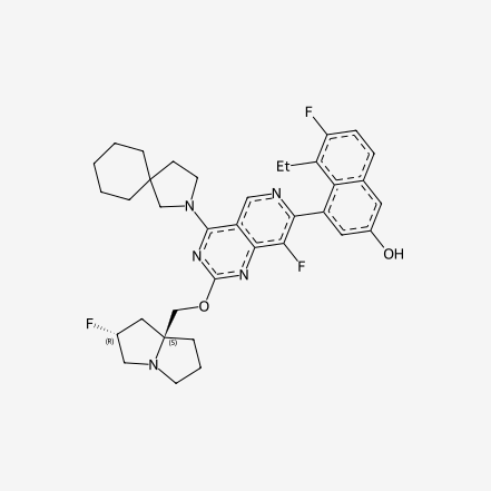 CCc1c(F)ccc2cc(O)cc(-c3ncc4c(N5CCC6(CCCCC6)C5)nc(OC[C@@]56CCCN5C[C@H](F)C6)nc4c3F)c12